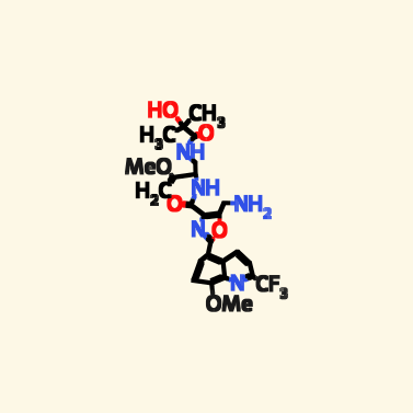 C=C(OC)C(CNC(=O)C(C)(C)O)NC(=O)c1nc(-c2ccc(OC)c3nc(C(F)(F)F)ccc23)oc1CN